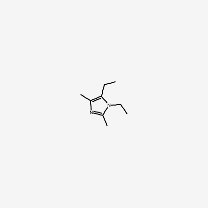 CCc1c(C)nc(C)n1CC